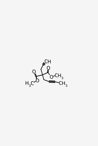 C#CCC(CC#CC)(C(=O)OC)C(=O)OC